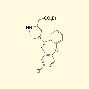 CCOC(=O)CC1CN(C2=Nc3cc(Cl)ccc3Oc3ccccc32)CCN1